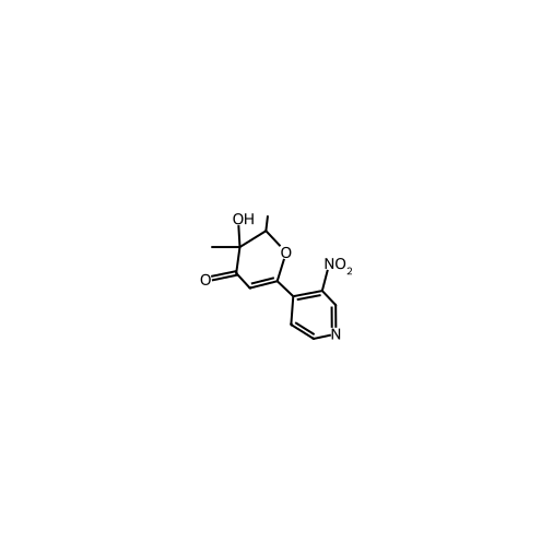 CC1OC(c2ccncc2[N+](=O)[O-])=CC(=O)C1(C)O